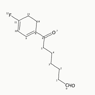 O=CCCCCCC(=O)C1=CC=C(F)CC1